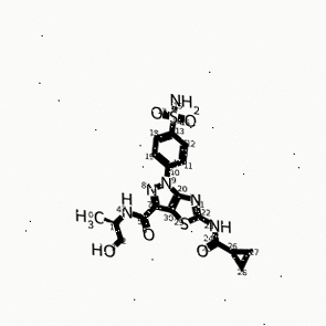 C[C@H](CO)NC(=O)c1nn(-c2ccc(S(N)(=O)=O)cc2)c2nc(NC(=O)C3CC3)sc12